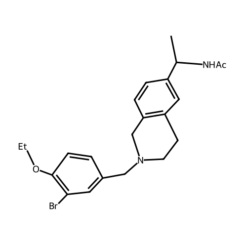 CCOc1ccc(CN2CCc3cc(C(C)NC(C)=O)ccc3C2)cc1Br